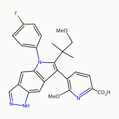 COCC(C)(C)c1c(-c2ccc(C(=O)O)nc2OC)c2cc3[nH]ncc3cc2n1-c1ccc(F)cc1